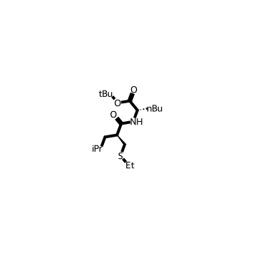 CCCC[C@H](NC(=O)[C@@H](CSCC)CC(C)C)C(=O)OC(C)(C)C